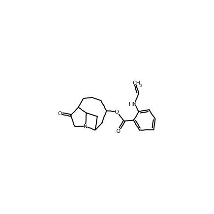 C=CNc1ccccc1C(=O)OC1CCCC2C(=O)CN3C(C1)CC23